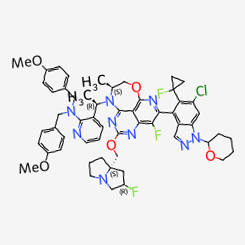 COc1ccc(CN(Cc2ccc(OC)cc2)c2ncccc2[C@@H](C)N2c3nc(OC[C@@]45CCCN4C[C@H](F)C5)nc4c(F)c(-c5c(C6(F)CC6)c(Cl)cc6c5cnn6C5CCCCO5)nc(c34)OC[C@@H]2C)cc1